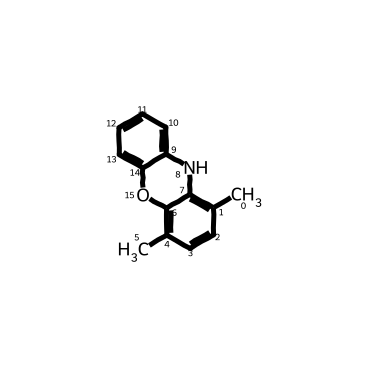 Cc1ccc(C)c2c1Nc1ccccc1O2